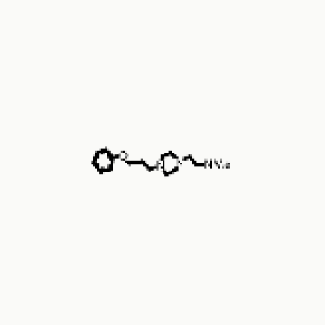 CNCCN1CCN(CCCOc2ccccc2)CC1